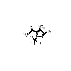 [2H]C([2H])([2H])n1nc(CCC)c([N+](=O)[O-])c1C(N)=O